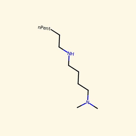 CCCCCCCNCCCCN(C)C